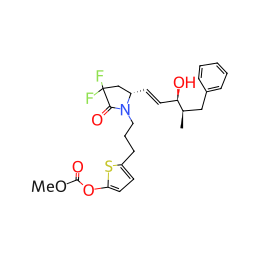 COC(=O)Oc1ccc(CCCN2C(=O)C(F)(F)C[C@@H]2/C=C/[C@@H](O)[C@H](C)Cc2ccccc2)s1